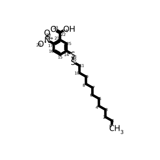 CCCCCCCCCCCCSSc1ccc([N+](=O)[O-])c(C(=O)O)c1